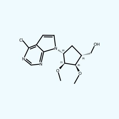 CO[C@@H]1[C@@H](CO)C[C@@H](n2ccc3c(Cl)ncnc32)[C@@H]1OC